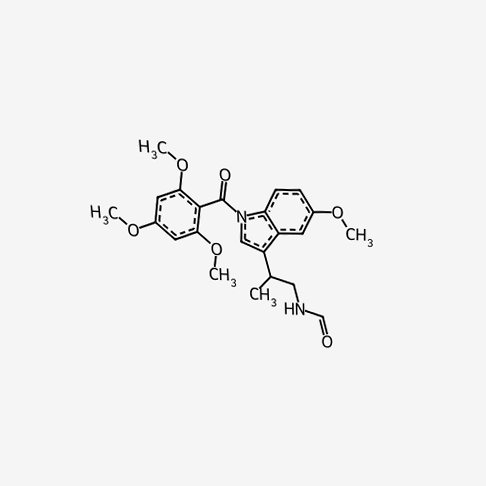 COc1cc(OC)c(C(=O)n2cc(C(C)CNC=O)c3cc(OC)ccc32)c(OC)c1